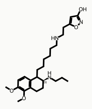 CCCN[C@H]1CCc2c(ccc(OC)c2OC)C1CCCCCCNCCc1cc(O)no1